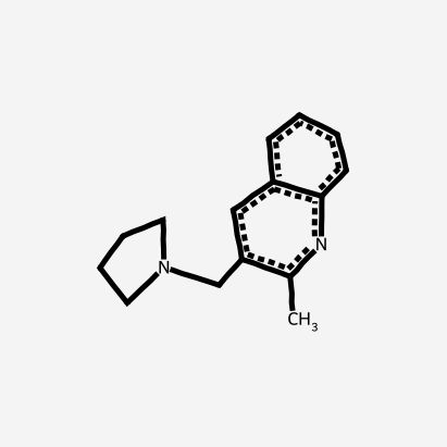 Cc1nc2ccccc2cc1CN1CCCC1